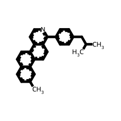 Cc1ccc2ccc3c4ccnc(-c5ccc(CC(C)C)cc5)c4ccc3c2c1